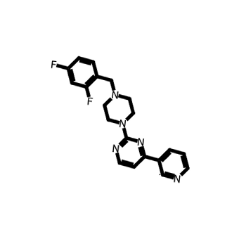 Fc1ccc(CN2CCN(c3nccc(-c4[c]nccc4)n3)CC2)c(F)c1